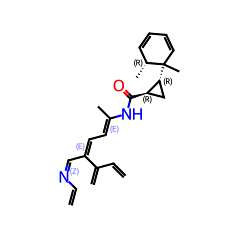 C=C\N=C/C(=C/C=C(\C)NC(=O)[C@@H]1C[C@H]1C1(C)C=CC=C[C@H]1C)C(=C)C=C